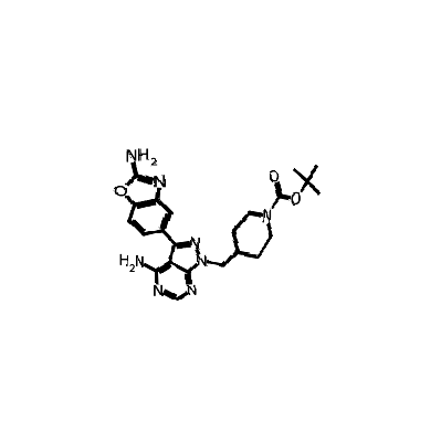 CC(C)(C)OC(=O)N1CCC(Cn2nc(-c3ccc4oc(N)nc4c3)c3c(N)ncnc32)CC1